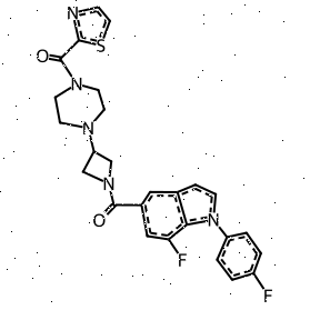 O=C(c1cc(F)c2c(ccn2-c2ccc(F)cc2)c1)N1CC(N2CCN(C(=O)c3nccs3)CC2)C1